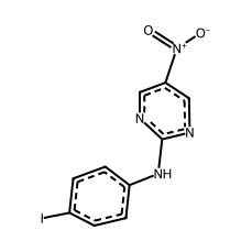 O=[N+]([O-])c1cnc(Nc2ccc(I)cc2)nc1